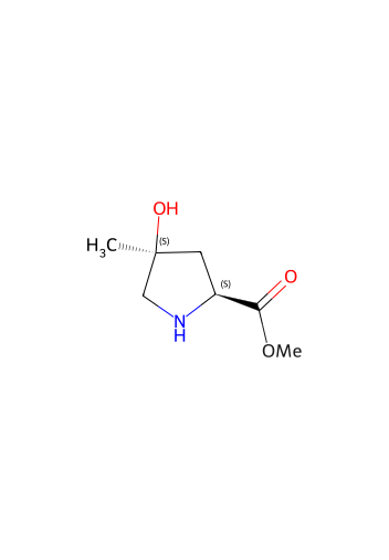 COC(=O)[C@@H]1C[C@](C)(O)CN1